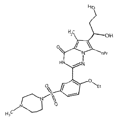 CCCc1c(C(O)CCO)c(C)c2c(=O)[nH]c(-c3cc(S(=O)(=O)N4CCN(C)CC4)ccc3OCC)nn12